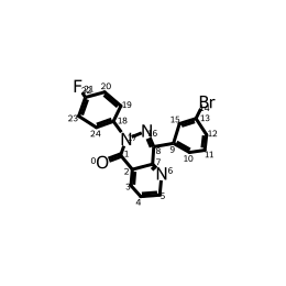 O=c1c2cccnc2c(-c2cccc(Br)c2)nn1-c1ccc(F)cc1